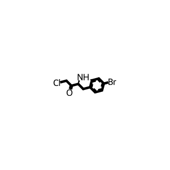 N[C@@H](Cc1ccc(Br)cc1)C(=O)CCl